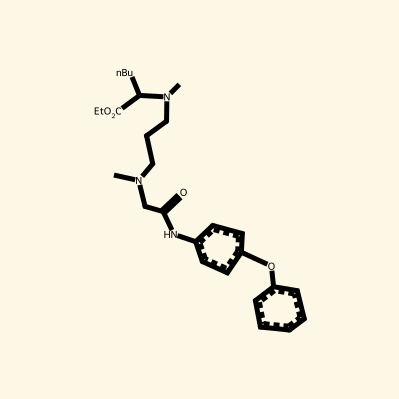 CCCCC(C(=O)OCC)N(C)CCCN(C)CC(=O)Nc1ccc(Oc2ccccc2)cc1